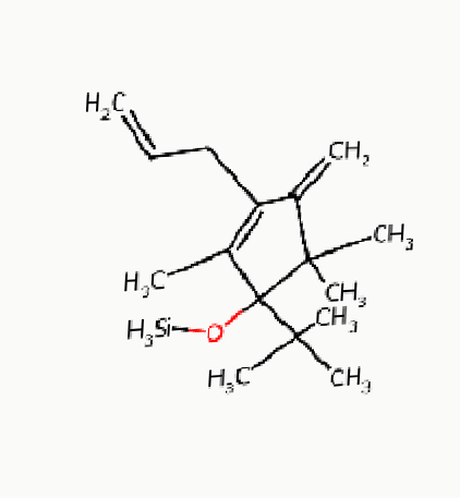 C=CCC1=C(C)C(O[SiH3])(C(C)(C)C)C(C)(C)C1=C